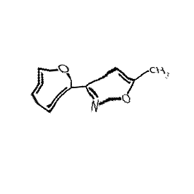 Cc1cc(-c2ccco2)no1